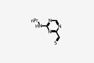 CCCNc1ncnc(C=S)n1